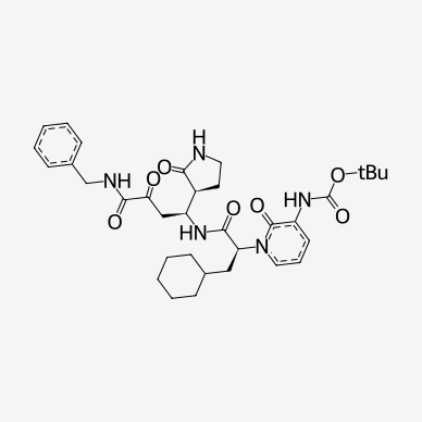 CC(C)(C)OC(=O)Nc1cccn([C@@H](CC2CCCCC2)C(=O)N[C@@H](CC(=O)C(=O)NCc2ccccc2)[C@@H]2CCNC2=O)c1=O